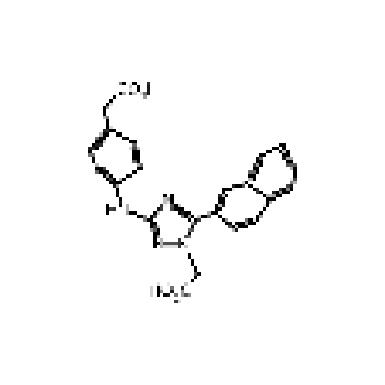 O=C(O)Cc1ccc(Nc2nc(-c3ccc4ccccc4c3)n(CC(=O)O)n2)cc1